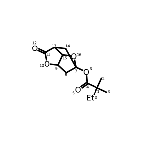 CCC(C)(C)C(=O)OC12CC3OC(=O)C(C1)C3O2